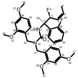 C/C=C\[C@H](F)[C@](C)(NC(=O)N(Cc1ccc(OC)cc1OC)Cc1ccc(OC)cc1OC)c1ccccc1F